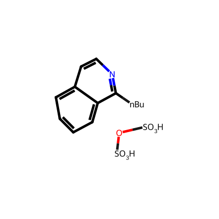 CCCCc1nccc2ccccc12.O=S(=O)(O)OS(=O)(=O)O